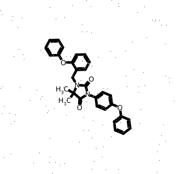 CC1(C)C(=O)N(c2ccc(Oc3ccccc3)cc2)C(=O)N1Cc1ccccc1Oc1ccccc1